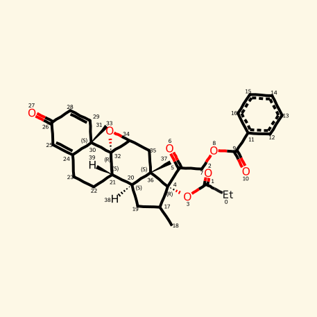 CCC(=O)O[C@]1(C(=O)COC(=O)c2ccccc2)C(C)C[C@H]2[C@@H]3CCC4=CC(=O)C=C[C@]4(C)[C@]34OC4C[C@@]21C